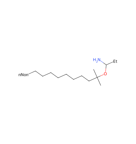 CCCCCCCCCCCCCCCCCC(C)(C)OC(N)CC